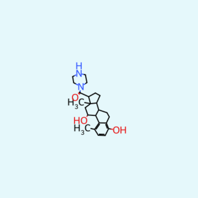 Cc1ccc(O)c2c1C1C(O)CC3(C)C(C(=O)N4CCNCC4)CCC3C1CC2